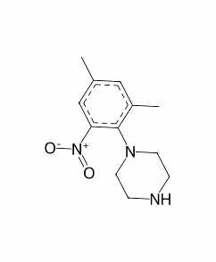 Cc1cc(C)c(N2CCNCC2)c([N+](=O)[O-])c1